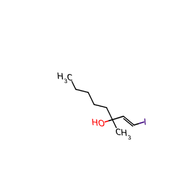 CCCCCC(C)(O)/C=C/I